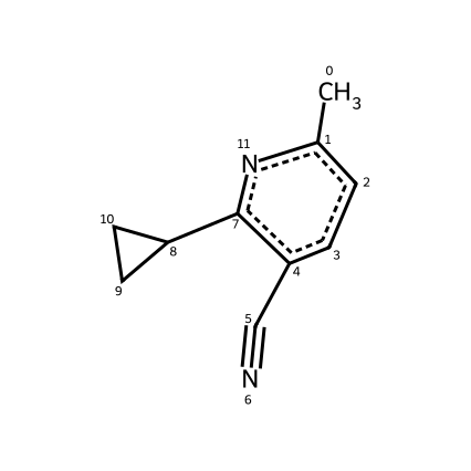 Cc1ccc(C#N)c(C2CC2)n1